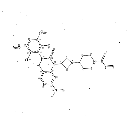 C=CC(=O)N1CCC(N2CC(N3C(=O)N(c4c(Cl)c(OC)cc(OC)c4Cl)Cc4cnc(N(C)C)nc43)C2)CC1